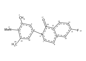 CNc1c(C)cc(-n2ccc3cc(F)ccc3c2=O)cc1C